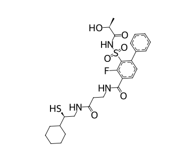 C[C@H](O)C(=O)NS(=O)(=O)c1c(-c2ccccc2)ccc(C(=O)NCCC(=O)NC[C@H](S)C2CCCCC2)c1F